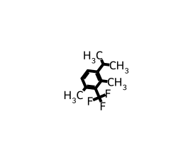 Cc1ccc(C(C)C)c(C)c1C(F)(F)F